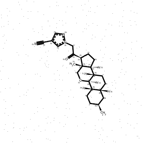 C[C@H]1CC[C@H]2[C@H](CC[C@@H]3[C@@H]2OC[C@]2(C)[C@@H](C(=O)Cn4cc(C#N)cn4)CC[C@@H]32)C1